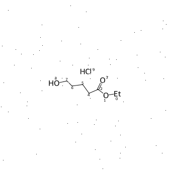 CCOC(=O)CCCCO.Cl